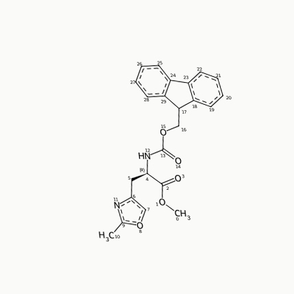 COC(=O)[C@@H](Cc1coc(C)n1)NC(=O)OCC1c2ccccc2-c2ccccc21